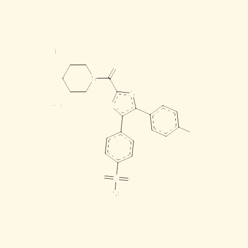 C[C@@H]1C[C@H](C)CN(C(=O)c2nc(-c3ccc(Cl)cc3)c(-c3ccc(S(N)(=O)=O)cc3)s2)C1